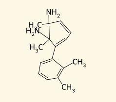 Cc1cccc(C2=CC=CC(C)(N)C2(C)N)c1C